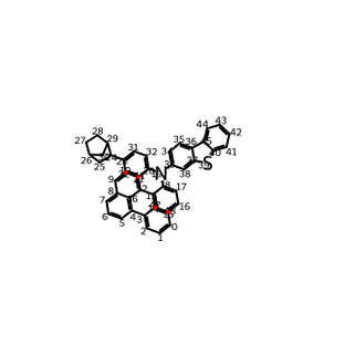 c1ccc(-c2cccc3cccc(-c4ccccc4N(c4ccc(C5CC6CCC5C6)cc4)c4ccc5c(c4)sc4ccccc45)c23)cc1